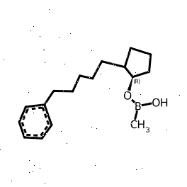 CB(O)O[C@@H]1CCCC1CCCCCc1ccccc1